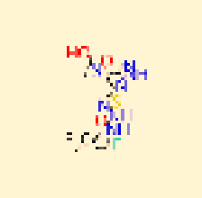 O=C(Nc1ncc(-c2cc(C(=O)N3CCCC3CO)c3cn[nH]c3n2)s1)Nc1cc(C(F)(F)F)ccc1F